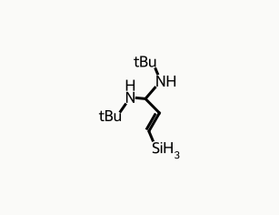 CC(C)(C)NC(C=C[SiH3])NC(C)(C)C